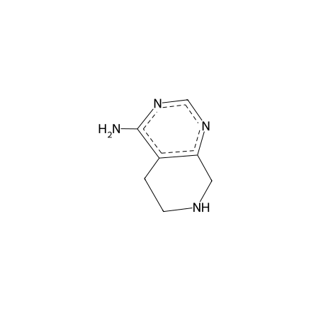 Nc1ncnc2c1CCNC2